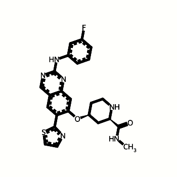 CNC(=O)[C@H]1C[C@@H](Oc2cc3nc(Nc4cccc(F)c4)ncc3cc2-c2nccs2)CCN1